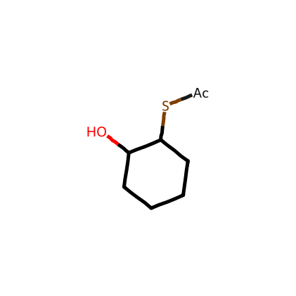 CC(=O)SC1CCCCC1O